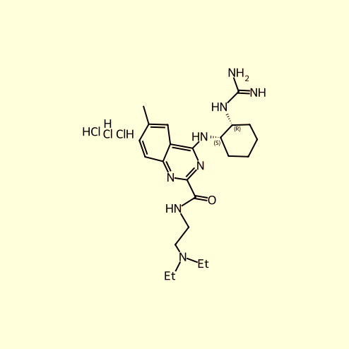 CCN(CC)CCNC(=O)c1nc(N[C@H]2CCCC[C@H]2NC(=N)N)c2cc(C)ccc2n1.Cl.Cl.Cl